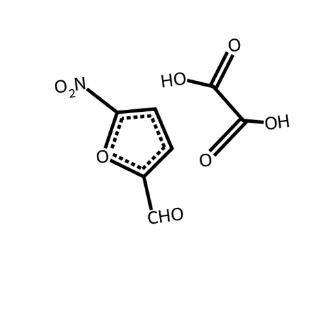 O=C(O)C(=O)O.O=Cc1ccc([N+](=O)[O-])o1